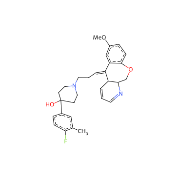 COc1ccc2c(c1)/C(=C/CCN1CCC(O)(c3ccc(F)c(C)c3)CC1)C1C=CC=NC1CO2